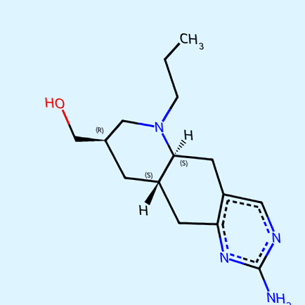 CCCN1C[C@H](CO)C[C@H]2Cc3nc(N)ncc3C[C@@H]21